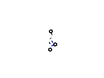 O=C(NCCN1CCN(C2(c3ccccc3)N=c3ccccc3=N2)CC1)c1ccc(F)cc1